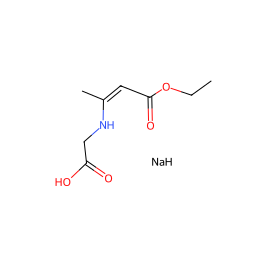 CCOC(=O)C=C(C)NCC(=O)O.[NaH]